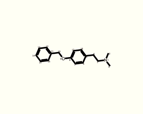 CN(C)C[CH]c1ccc(OCc2ccccc2)cc1